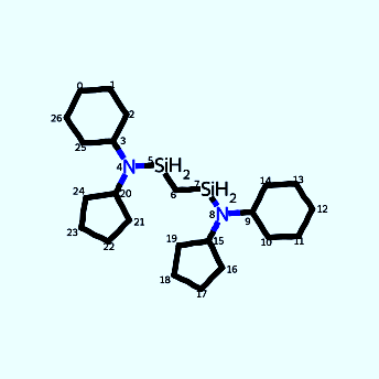 C1CCC(N([SiH2]C[SiH2]N(C2CCCCC2)C2CCCC2)C2CCCC2)CC1